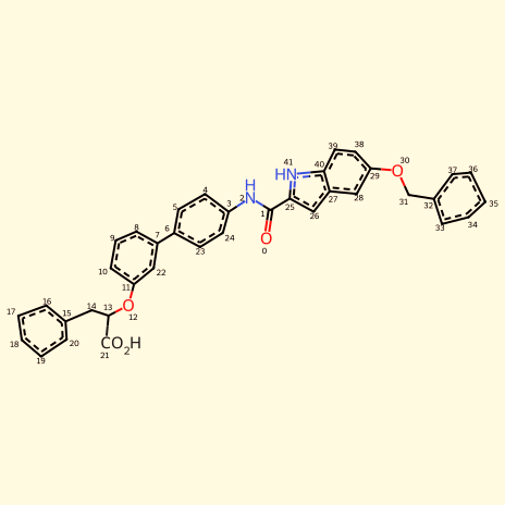 O=C(Nc1ccc(-c2cccc(OC(Cc3ccccc3)C(=O)O)c2)cc1)c1cc2cc(OCc3ccccc3)ccc2[nH]1